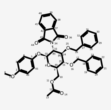 COc1ccc(O[C@@H]2O[C@H](COC(C)=O)[C@@H](OCc3ccccc3)[C@H](OCc3ccccc3)[C@H]2N2C(=O)c3ccccc3C2=O)cc1